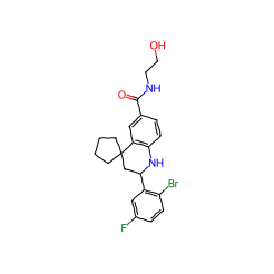 O=C(NCCO)c1ccc2c(c1)C1(CCCC1)CC(c1cc(F)ccc1Br)N2